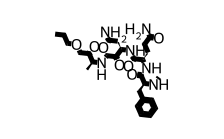 CCCOCC(=O)[C@H](C)NCC(=O)[C@H](CC(N)=O)NC(=O)[C@H](CCC(N)=O)NC(=O)[C@H](Cc1ccccc1)NC